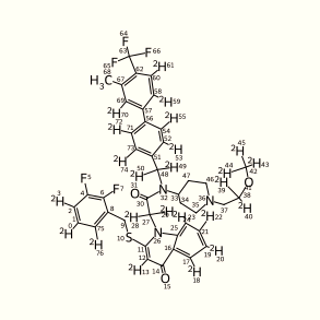 [2H]c1c([2H])c(F)c(F)c(CSc2c([2H])c(=O)c3c([2H])c([2H])c([2H])c([2H])c3n2C([2H])([2H])C(=O)N(C2CCN(CC([2H])([2H])OC([2H])([2H])[2H])CC2)C([2H])([2H])c2c([2H])c([2H])c(-c3c([2H])c([2H])c(C(F)(F)F)c(C)c3[2H])c([2H])c2[2H])c1[2H]